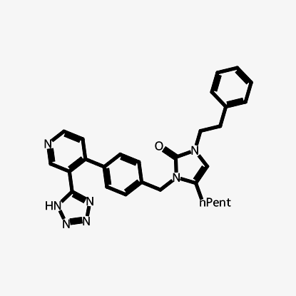 CCCCCc1cn(CCc2ccccc2)c(=O)n1Cc1ccc(-c2ccncc2-c2nnn[nH]2)cc1